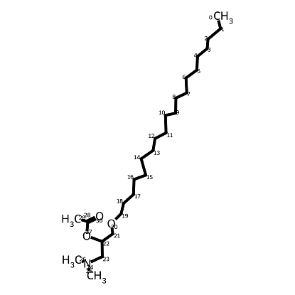 CCCCCCCCCCCCCCCCCCCCOCC(CN(C)C)OC(C)=O